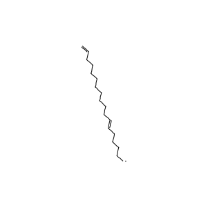 [CH2]CCCCC=CCCCCCCCCCC=C